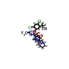 CC(C)(Oc1cc(C(C)(C)C#N)c(Cl)cc1Cl)C(=O)NC1CC2CCC(C1)N2c1ccc(C(=O)NCC(F)(F)F)cn1